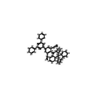 N#Cc1cc(-c2nc(-c3ccccc3)nc(-c3ccccc3)n2)cc(C#N)c1N1c2ccccc2C2(c3ccccc3-c3ccccc32)c2ccccc21